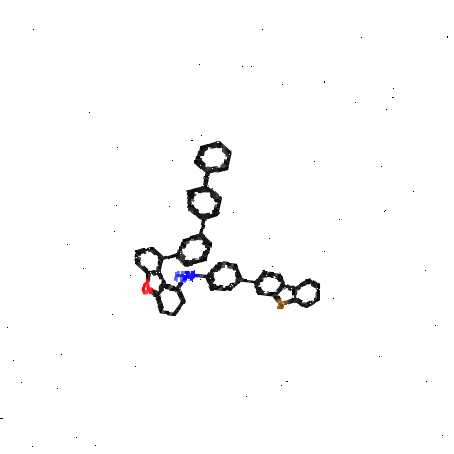 C1=c2oc3cccc(-c4cccc(-c5ccc(-c6ccccc6)cc5)c4)c3c2=C(Nc2ccc(-c3ccc4c(c3)sc3ccccc34)cc2)CC1